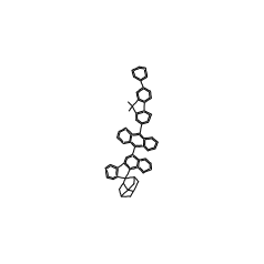 CC1(C)c2cc(-c3ccccc3)ccc2-c2ccc(-c3c4ccccc4c(-c4cc5c(c6ccccc46)C4(c6ccccc6-5)C5CC6CC(C5)CC4C6)c4ccccc34)cc21